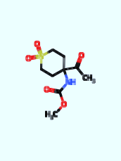 COC(=O)NC1(C(C)=O)CCS(=O)(=O)CC1